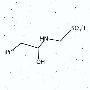 CC(C)CC(O)NCS(=O)(=O)O